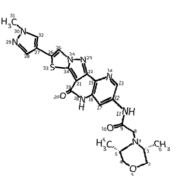 C[C@@H]1COC[C@H](C)N1CC(=O)Nc1cnc2c(c1)[nH]c(=O)c1c2nn2cc(-c3cnn(C)c3)sc12